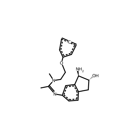 CC(=Nc1ccc2c(c1)[C@@H](N)[C@H](O)C2)N(C)CCOc1ccccc1